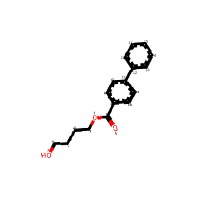 O=C(OCCCCO)c1ccc(-c2ccccc2)cc1